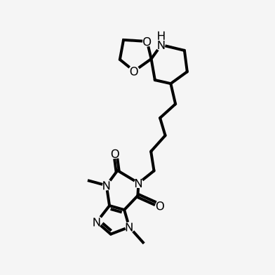 Cn1cnc2c1c(=O)n(CCCCCC1CCNC3(C1)OCCO3)c(=O)n2C